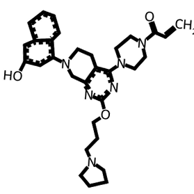 C=CC(=O)N1CCN(c2nc(OCCCN3CCCC3)nc3c2CCN(c2cc(O)cc4ccccc24)C3)CC1